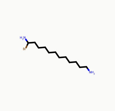 NCCCCCCCCCCCC(N)Br